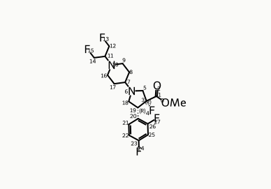 COC(=O)[C@]1(F)CN(C2CCN(C(CF)CF)CC2)C[C@H]1c1ccc(F)cc1F